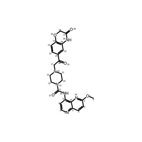 COc1ccc2nccc(NC(=O)N3CCN(CC(=O)c4ccc5c(c4)NC(=O)CO5)CC3)c2n1